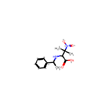 CC(NC(C(=O)O)C(C)(C)[N+](=O)[O-])c1ccccc1